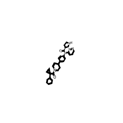 O=C([C@H]1CCNC1)N(c1ccc(C2CCN(C(=O)C3(c4ccccc4)CC3)CC2)cc1)c1cccnn1